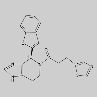 O=C(CCc1cncs1)N1CCc2[nH]cnc2[C@H]1c1cc2ccccc2o1